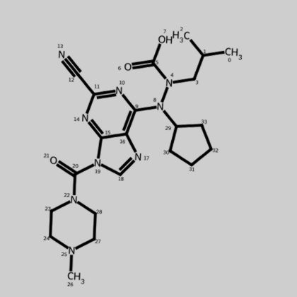 CC(C)CN(C(=O)O)N(c1nc(C#N)nc2c1ncn2C(=O)N1CCN(C)CC1)C1CCCC1